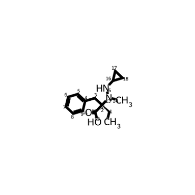 CC[C@](Cc1ccccc1)(C(=O)O)N(C)NC1CC1